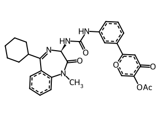 CC(=O)Oc1coc(-c2cccc(NC(=O)N[C@@H]3N=C(C4CCCCC4)c4ccccc4N(C)C3=O)c2)cc1=O